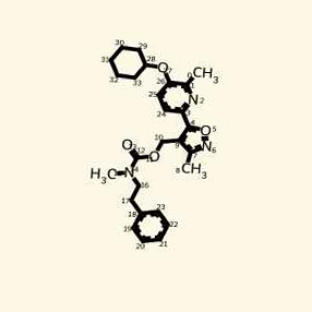 Cc1nc(-c2onc(C)c2COC(=O)N(C)CCc2ccccc2)ccc1OC1CCCCC1